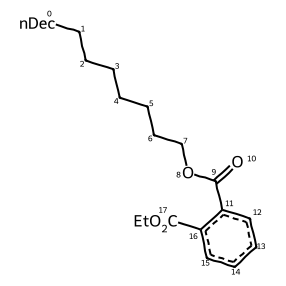 CCCCCCCCCCCCCCCCCOC(=O)c1ccccc1C(=O)OCC